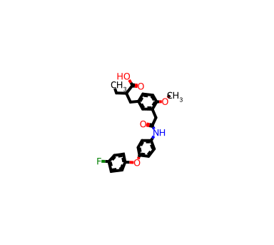 CCC(Cc1ccc(OC)c(CC(=O)Nc2ccc(Oc3ccc(F)cc3)cc2)c1)C(=O)O